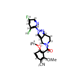 COc1c(C#N)ccc(OC(C)C)c1C(=O)N1CCc2nn(-c3ncc(F)cc3F)cc2C1